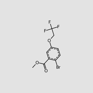 COC(=O)c1cc(OCC(F)(F)F)ccc1Br